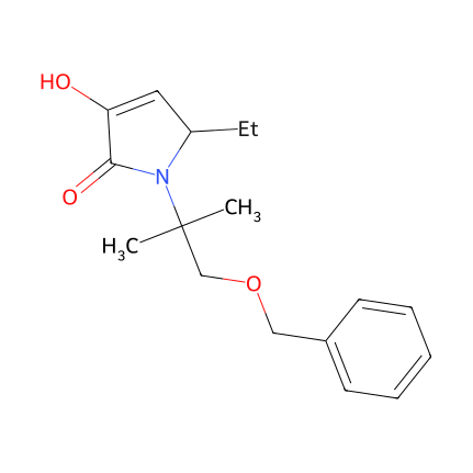 CCC1C=C(O)C(=O)N1C(C)(C)COCc1ccccc1